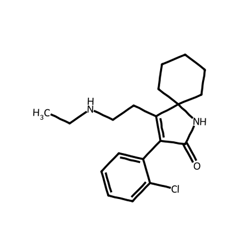 CCNCCC1=C(c2ccccc2Cl)C(=O)NC12CCCCC2